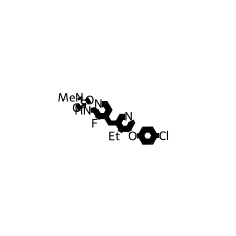 CCc1c(Cc2ccnc(NS(=O)(=O)NC)c2F)cncc1Oc1ccc(Cl)cc1